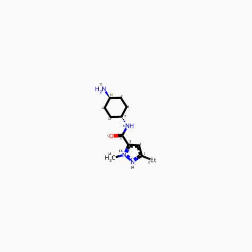 CCc1cc(C(=O)N[C@H]2CC[C@H](N)CC2)n(C)n1